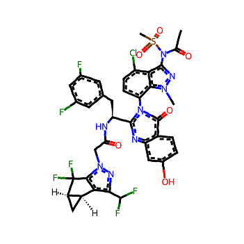 CC(=O)N(c1nn(C)c2c(-n3c([C@H](Cc4cc(F)cc(F)c4)NC(=O)Cn4nc(C(F)F)c5c4C(F)(F)[C@@H]4C[C@H]54)nc4cc(O)ccc4c3=O)ccc(Cl)c12)S(C)(=O)=O